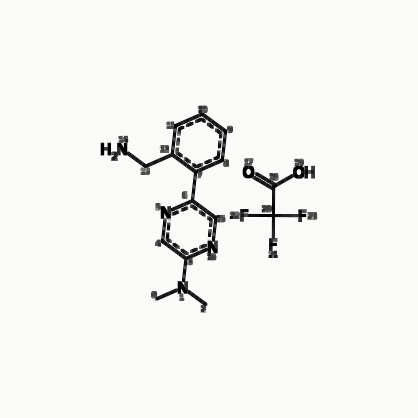 CN(C)c1cnc(-c2ccccc2CN)cn1.O=C(O)C(F)(F)F